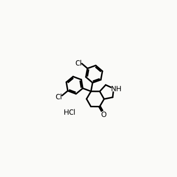 Cl.O=C1CCC(c2cccc(Cl)c2)(c2cccc(Cl)c2)C2CNCC12